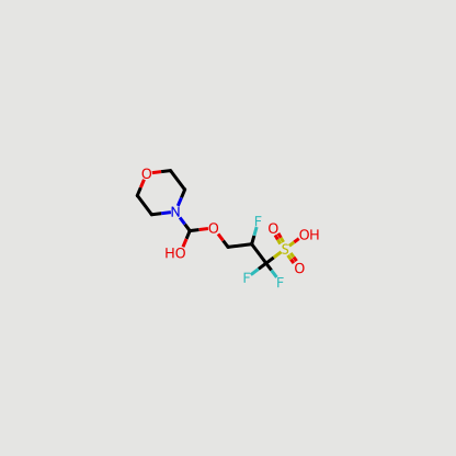 O=S(=O)(O)C(F)(F)C(F)COC(O)N1CCOCC1